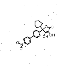 O=C1OC(c2ccc(-c3ccc([N+](=O)[O-])cc3)cc2)(C2CCCCC2)C(O)=C1O